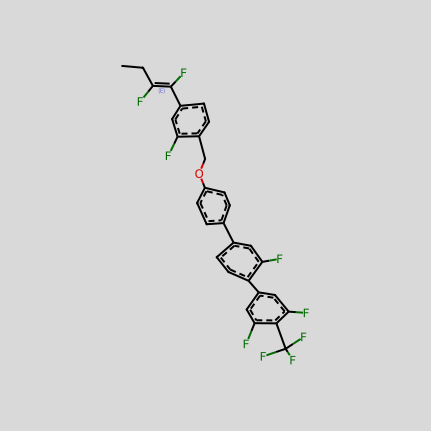 CC/C(F)=C(\F)c1ccc(COc2ccc(-c3ccc(-c4cc(F)c(C(F)(F)F)c(F)c4)c(F)c3)cc2)c(F)c1